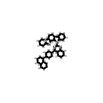 c1ccc2c(-c3ccc(-c4nc(-n5c6ccccc6c6ccc7c(nc8ccccn87)c65)nc5ccccc45)cc3)cccc2c1